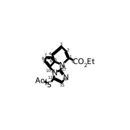 CCOC(=O)C1=CC=CC23C=CCC=C2n2c(SC(C)=O)cnc2N13